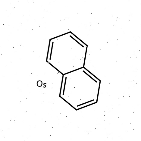 [Os].c1ccc2ccccc2c1